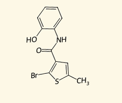 Cc1cc(C(=O)Nc2ccccc2O)c(Br)s1